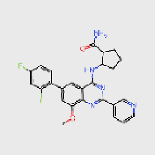 COc1cc(-c2ccc(F)cc2F)cc2c(NC3CCCC3C(N)=O)nc(-c3cccnc3)nc12